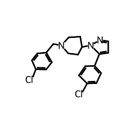 Clc1ccc(CN2CCC(n3nccc3-c3ccc(Cl)cc3)CC2)cc1